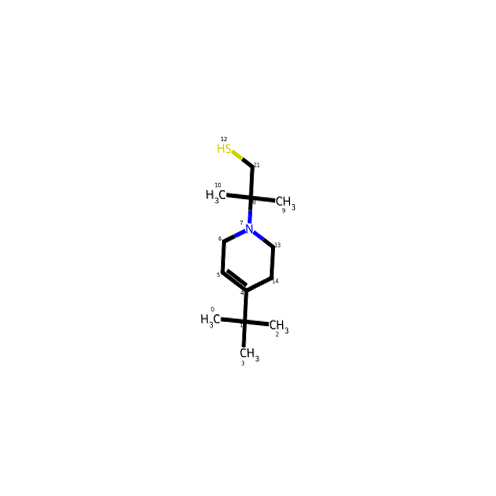 CC(C)(C)C1=CCN(C(C)(C)CS)CC1